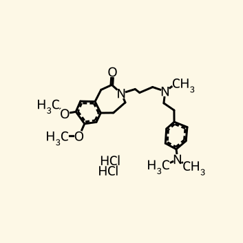 COc1cc2c(cc1OC)CC(=O)N(CCCN(C)CCc1ccc(N(C)C)cc1)CC2.Cl.Cl